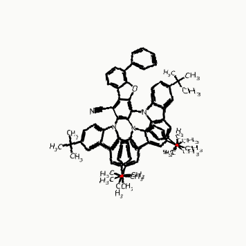 CC(C)(C)c1ccc2c(c1)c1cc(C(C)(C)C)ccc1n2-c1c(-n2c3ccc(C(C)(C)C)cc3c3cc(C(C)(C)C)ccc32)c(C#N)c2c(oc3c(-c4ccccc4)cccc32)c1-n1c2ccc(C(C)(C)C)cc2c2cc(C(C)(C)C)ccc21